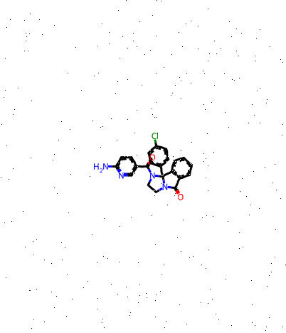 Nc1ccc(C(=O)N2CCN3C(=O)c4ccccc4C23c2ccc(Cl)cc2)cn1